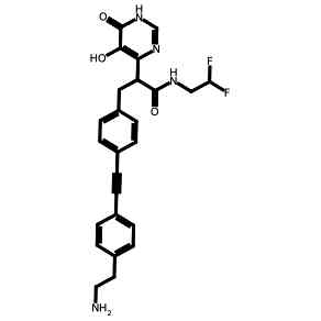 NCCc1ccc(C#Cc2ccc(CC(C(=O)NCC(F)F)c3nc[nH]c(=O)c3O)cc2)cc1